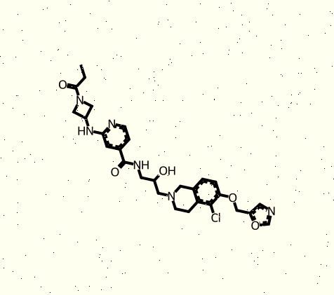 CCC(=O)N1CC(Nc2cc(C(=O)NCC(O)CN3CCc4c(ccc(OCc5cnco5)c4Cl)C3)ccn2)C1